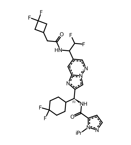 CC(C)n1nccc1C(=O)N[C@H](c1cn2ncc(C(NC(=O)CC3CC(F)(F)C3)C(F)F)cc2n1)C1CCC(F)(F)CC1